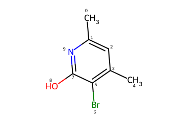 Cc1cc(C)c(Br)c(O)n1